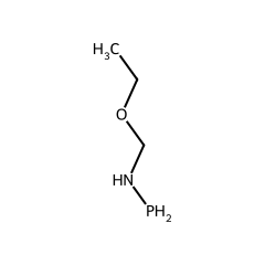 CCOCNP